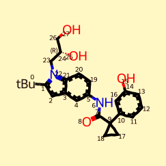 CC(C)(C)c1cc2cc(NC(=O)C3(c4cccc(O)c4)CC3)ccc2n1C[C@@H](O)CO